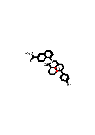 COC(=O)C1=Cc2cccc(N(CC34CCC(c5ccc(Br)cc5)(CC3)CC4)C(=O)C3CCCCC3)c2CC1